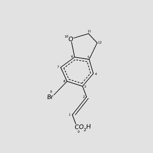 O=C(O)C=Cc1cc2c(cc1Br)OCC2